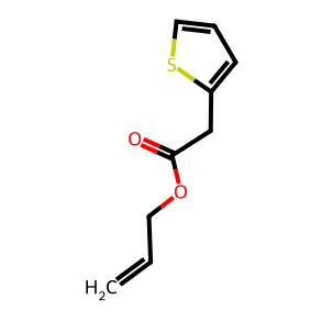 C=CCOC(=O)Cc1cccs1